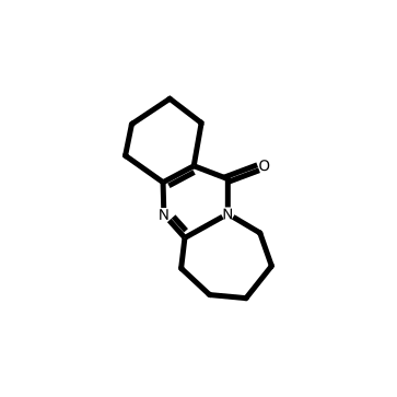 O=c1c2c(nc3n1CCCCC3)CCCC2